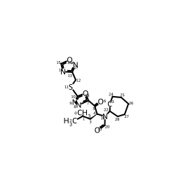 CC(C)C[C@@H](C(=O)c1nnc(SCc2ncon2)o1)N(C=O)C1CCCCCC1